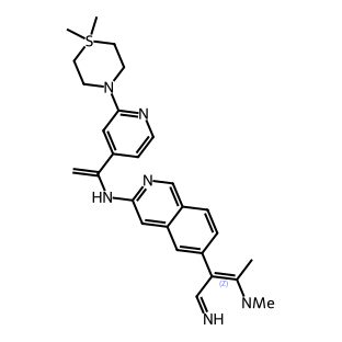 C=C(Nc1cc2cc(/C(C=N)=C(\C)NC)ccc2cn1)c1ccnc(N2CCS(C)(C)CC2)c1